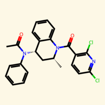 CC(=O)N(c1ccccc1)[C@H]1C[C@@H](C)N(C(=O)c2ccc(Cl)nc2Cl)c2ccccc21